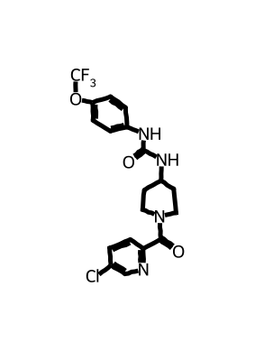 O=C(Nc1ccc(OC(F)(F)F)cc1)NC1CCN(C(=O)c2ccc(Cl)cn2)CC1